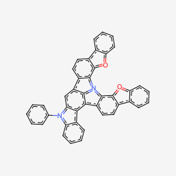 c1ccc(-n2c3ccccc3c3c4c5ccc6c7ccccc7oc6c5n5c6c(ccc7c8ccccc8oc76)c(cc32)c45)cc1